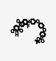 CC(C)(C)OC(=O)N1CCC(OC2CCC(OC3CCN(c4ccc5c(c4F)CN(C4CCC(=O)NC4=O)C5=O)CC3)CC2)CC1